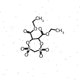 CCOC(=O)C1OS(=O)(=O)CS(=O)(=O)OC1C(=O)OCC